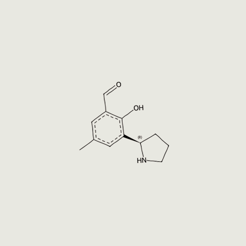 Cc1cc(C=O)c(O)c([C@H]2CCCN2)c1